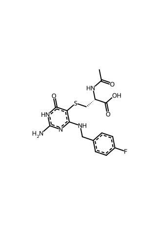 CC(=O)N[C@@H](CSc1c(NCc2ccc(F)cc2)nc(N)[nH]c1=O)C(=O)O